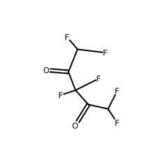 O=C([C](F)F)C(F)(F)C(=O)C(F)F